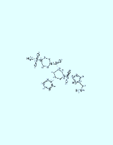 CS(=O)(=O)N1CCN(C(=O)[C@H]2C[C@@H](c3ccccc3)CN(S(=O)(=O)c3ccc(CN)s3)C2)CC1